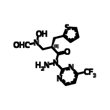 NN(C(=O)[C@H](Cc1cccs1)CN(O)C=O)c1nccc(C(F)(F)F)n1